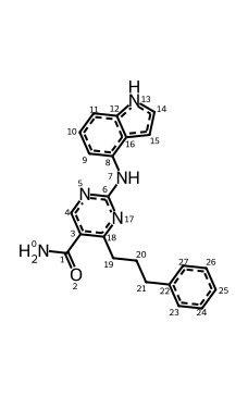 NC(=O)c1cnc(Nc2cccc3[nH]ccc23)nc1CCCc1ccccc1